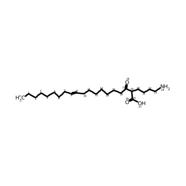 CCCCCCCCC=CCCCCCCCC(=O)C(CCCCN)C(=O)O